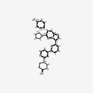 O=C1CCN(c2cc(-c3cccc(-c4cnc5ccc(N6CCC[C@@H]6c6cccc(F)c6)nn45)n3)ccn2)CC1